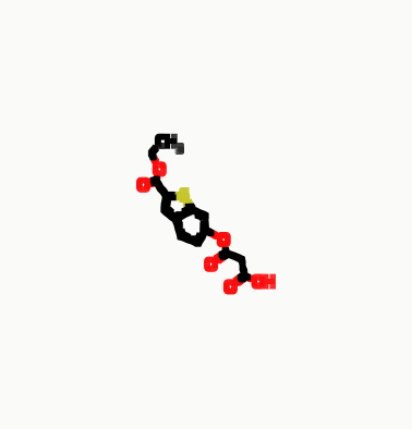 CCOC(=O)c1cc2ccc(OC(=O)CC(=O)O)cc2s1